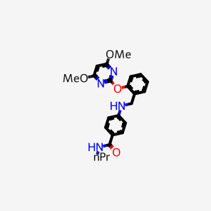 CCCNC(=O)c1ccc(NCc2ccccc2Oc2nc(OC)cc(OC)n2)cc1